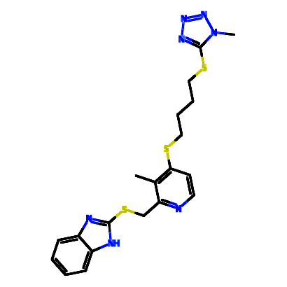 Cc1c(SCCCCSc2nnnn2C)ccnc1CSc1nc2ccccc2[nH]1